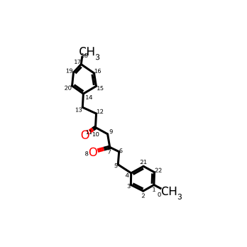 Cc1ccc(CCC(=O)CC(=O)CCc2ccc(C)cc2)cc1